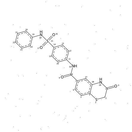 O=C1CSc2ccc(C(=O)Nc3ccc(S(=O)(=O)Nc4ccccc4)cc3)cc2N1